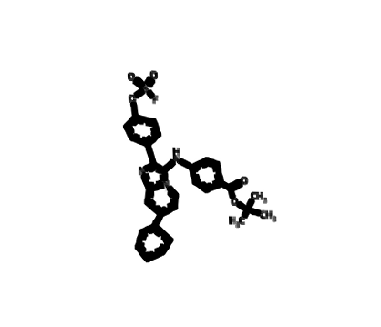 CC(C)(C)OC(=O)c1ccc(Nc2c(-c3ccc(OS(=O)(=O)F)cc3)nc3cc(-c4ccccc4)ccn23)cc1